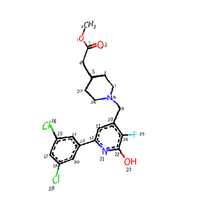 COC(=O)CC1CCN(Cc2cc(-c3cc(Cl)cc(Cl)c3)nc(O)c2F)CC1